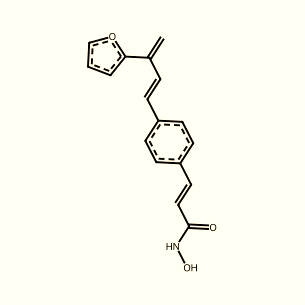 C=C(/C=C/c1ccc(/C=C/C(=O)NO)cc1)c1ccco1